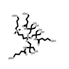 CCCCCCCCCCCCCC[N+](C)(C)CCC[Si](OCC(CO)(CO)NC(=O)CCCCCCCCCCCCC)(OCC(CO)(CO)NC(=O)CCCCCCCCCCCCC)OCC(CO)(CO)NC(=O)CCCCCCCCCCCCC